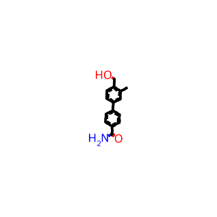 Cc1cc(-c2ccc(C(N)=O)cc2)ccc1CO